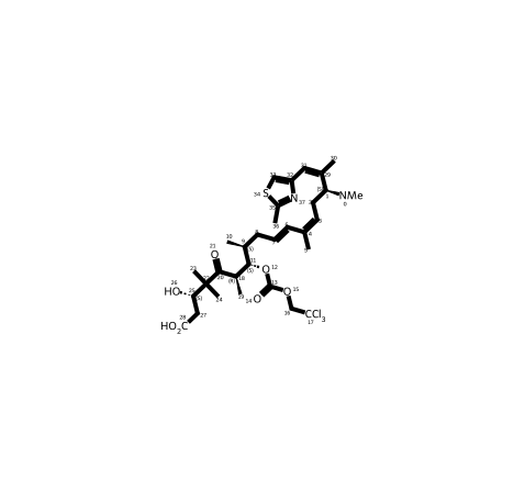 CN[C@@H](CC=C(C)C=CC[C@H](C)[C@H](OC(=O)OCC(Cl)(Cl)Cl)[C@@H](C)C(=O)C(C)(C)[C@@H](O)CC(=O)O)C(C)=Cc1csc(C)n1